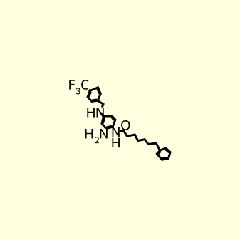 Nc1cc(NCc2ccc(C(F)(F)F)cc2)ccc1NC(=O)CCCCCCc1ccccc1